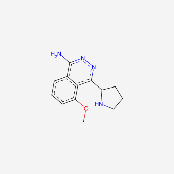 COc1cccc2c(N)nnc(C3CCCN3)c12